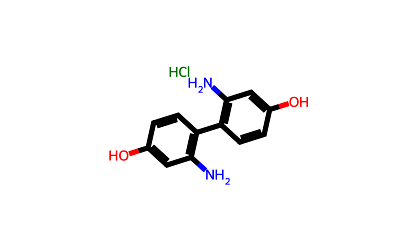 Cl.Nc1cc(O)ccc1-c1ccc(O)cc1N